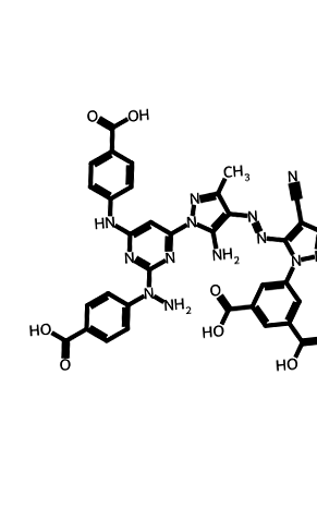 Cc1nn(-c2cc(Nc3ccc(C(=O)O)cc3)nc(N(N)c3ccc(C(=O)O)cc3)n2)c(N)c1N=Nc1c(C#N)cnn1-c1cc(C(=O)O)cc(C(=O)O)c1